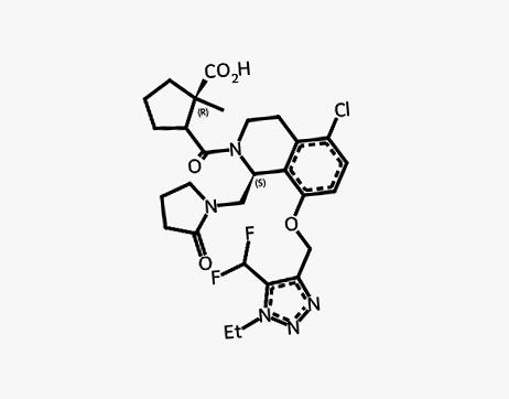 CCn1nnc(COc2ccc(Cl)c3c2[C@@H](CN2CCCC2=O)N(C(=O)C2CCC[C@@]2(C)C(=O)O)CC3)c1C(F)F